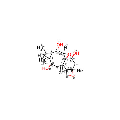 CC1=C2[C@@H](O)[C@H]3O[C@@]34[C@H](C[C@](O)(CC1)C2(C)C)[C@@H]1CO[C@@H]1C[C@@H]4O